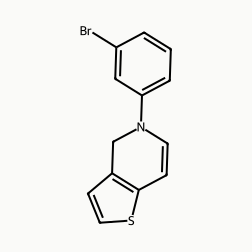 Brc1cccc(N2C=Cc3sccc3C2)c1